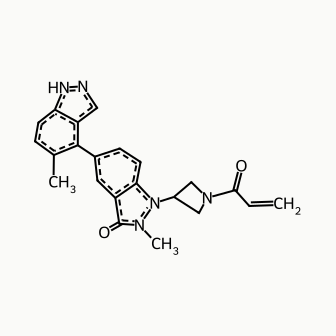 C=CC(=O)N1CC(n2c3ccc(-c4c(C)ccc5[nH]ncc45)cc3c(=O)n2C)C1